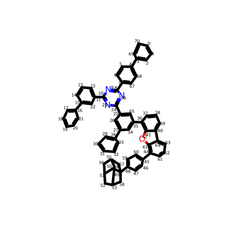 c1ccc(-c2ccc(-c3nc(-c4cccc(-c5ccccc5)c4)nc(-c4cc(-c5ccccc5)cc(-c5cccc6c5oc5c(-c7ccc(C89CC%10CC(CC(C%10)C8)C9)cc7)cccc56)c4)n3)cc2)cc1